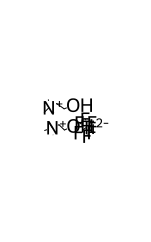 C[N+](C)(C)CCO.C[N+](C)(C)CCO.[F][Ti-2]([F])([F])([F])([F])[F]